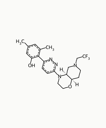 Cc1cc(C)c(-c2ccc(N3CCO[C@@H]4CCN(CC(F)(F)F)C[C@@H]43)nn2)c(O)c1